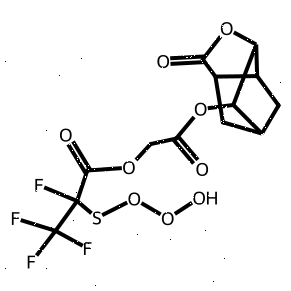 O=C(COC(=O)C(F)(SOOO)C(F)(F)F)OC1C2CC3C(=O)OC1C3C2